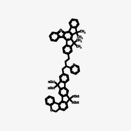 CCCCCCCCC1(CCCCCCCC)c2cc(CC(CCc3ccc4c(c3)C(C)(C)c3c5c(c6oc7ccccc7c6c3-4)-c3ccccc3C5(C)C)c3ccccn3)ccc2-c2cc3c(cc21)-c1c(ccc2c1-c1ccccc1OC2)C3(CCCCCCCC)CCCCCCCC